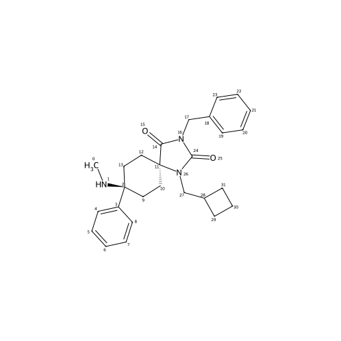 CN[C@]1(c2ccccc2)CC[C@]2(CC1)C(=O)N(Cc1ccccc1)C(=O)N2CC1CCC1